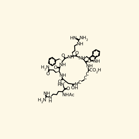 CC(=O)N[C@@H](CCCNC(=N)N)C(=O)N[C@H]1CC(=O)NCCCCC(C(=O)O)NC(=O)[C@H](Cc2c[nH]c3ccccc23)NC(=O)[C@H](CCCNC(=N)N)NC(=O)[C@@H](Cc2ccccc2)NC(=O)[C@H](CCC(N)=O)NC1=O